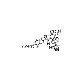 CCCCCc1ccc(C=CC(=O)Nc2cc(C(=O)O)cc3c2OC(c2nnn[nH]2)CO3)cc1